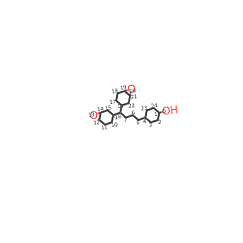 OC1CCC(CCCC(C2CCC3OC3C2)C2CCC3OC3C2)CC1